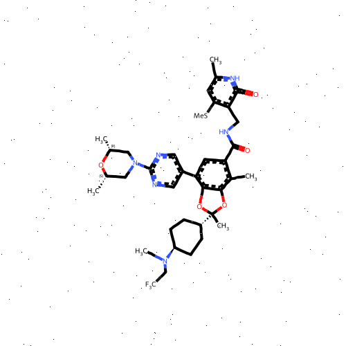 CSc1cc(C)[nH]c(=O)c1CNC(=O)c1cc(-c2cnc(N3C[C@@H](C)O[C@@H](C)C3)nc2)c2c(c1C)OC(C)([C@H]1CC[C@H](N(C)CC(F)(F)F)CC1)O2